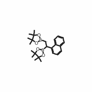 CC1(C)OB([CH]C(B2OC(C)(C)C(C)(C)O2)c2cccc3ccccc23)OC1(C)C